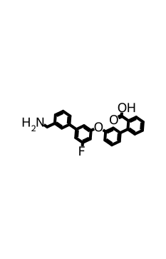 NCc1cccc(-c2cc(F)cc(Oc3cccc(-c4ccccc4C(=O)O)c3)c2)c1